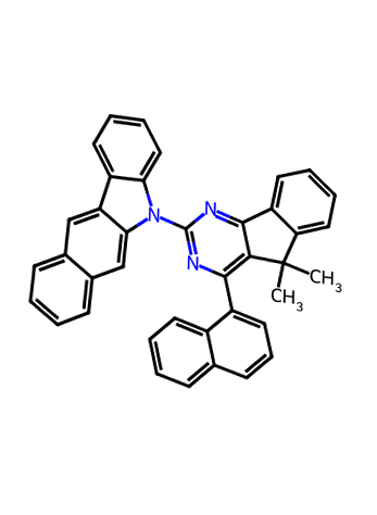 CC1(C)c2ccccc2-c2nc(-n3c4ccccc4c4cc5ccccc5cc43)nc(-c3cccc4ccccc34)c21